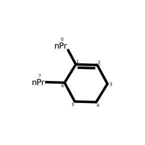 CCCC1=[C]CCCC1CCC